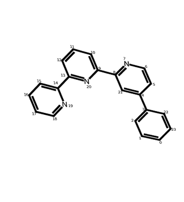 c1ccc(-c2ccnc(-c3cccc(-c4ccccn4)n3)c2)cc1